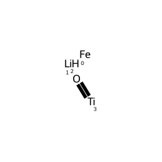 [Fe].[LiH].[O]=[Ti]